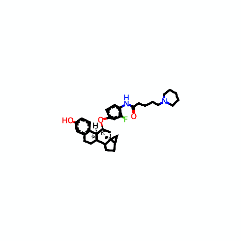 O=C(CCCCN1CCCCC1)Nc1ccc(O[C@H]2C[C@]34CC3CCC4C3CCc4cc(O)ccc4[C@H]32)cc1F